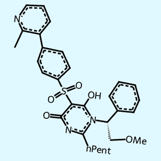 CCCCCc1nc(=O)c(S(=O)(=O)c2ccc(-c3cccnc3C)cc2)c(O)n1[C@@H](COC)c1ccccc1